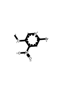 COc1cnc(Br)cc1[N+](=O)[O-]